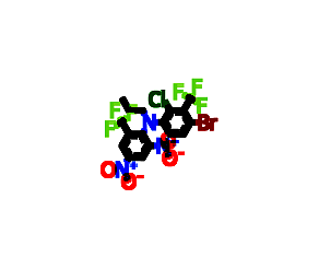 CCCN(c1ccc(Br)c(C(F)(F)F)c1Cl)c1c([N+](=O)[O-])cc([N+](=O)[O-])cc1C(F)(F)F